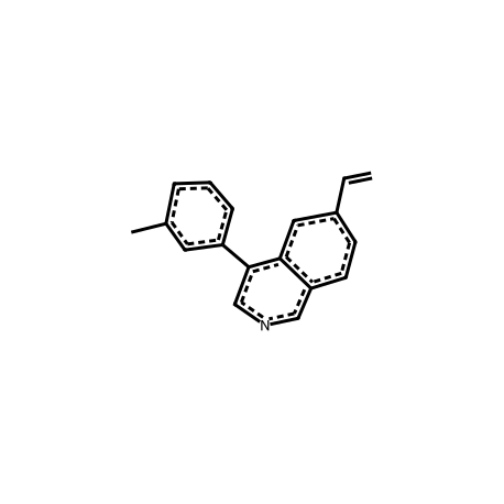 C=Cc1ccc2cncc(-c3cccc(C)c3)c2c1